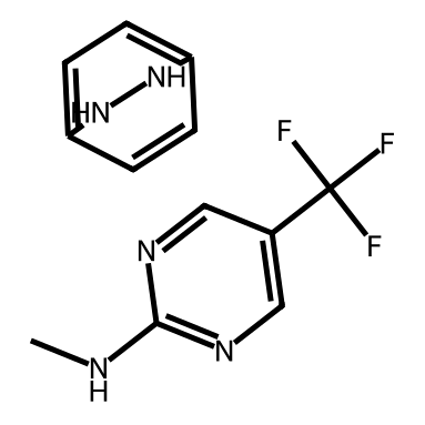 CNc1ncc(C(F)(F)F)cn1.c1cc2ccc1NN2